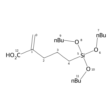 C=C(CCC[Si](OCCCC)(OCCCC)OCCCC)C(=O)O